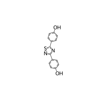 Oc1ccc(-c2nsc(-c3ccc(O)cc3)n2)cc1